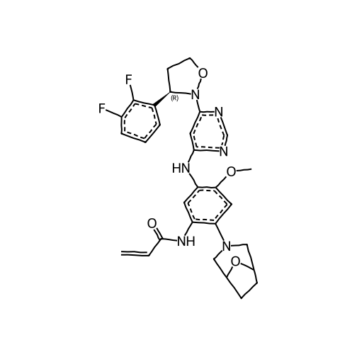 C=CC(=O)Nc1cc(Nc2cc(N3OCC[C@@H]3c3cccc(F)c3F)ncn2)c(OC)cc1N1CC2CCC(C1)O2